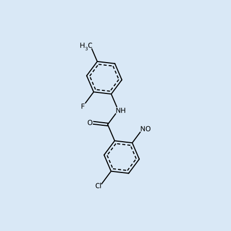 Cc1ccc(NC(=O)c2cc(Cl)ccc2N=O)c(F)c1